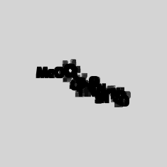 COc1cccc(-c2cc(C(=O)Nc3nc(CN4CCOCC4)ns3)c(C)o2)c1